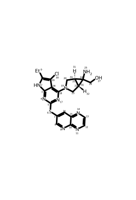 CCc1[nH]c2nc(Sc3cnc4nccnc4c3)nc(N3C[C@@H]4[C@@H](C3)C4(N)CO)c2c1Cl